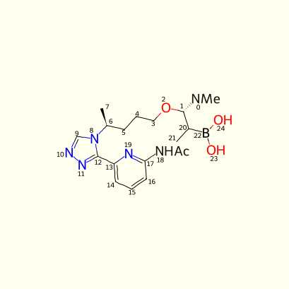 CN[C@@H](OCCC[C@H](C)n1cnnc1-c1cccc(NC(C)=O)n1)C(C)B(O)O